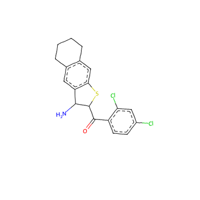 NC1c2cc3c(cc2SC1C(=O)c1ccc(Cl)cc1Cl)CCCC3